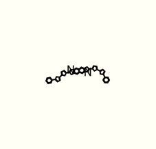 C1=C(C2=CC=C(c3ccccc3)C2)CC(C2=Nc3cc4cc5c(cc4cc3C2)N=C(C2=CC=C(C3=CC=C(c4ccccc4)C3)C2)C5)=C1